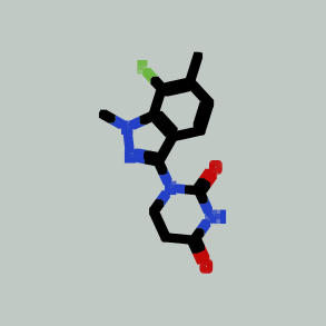 Cc1ccc2c(N3CCC(=O)NC3=O)nn(C)c2c1F